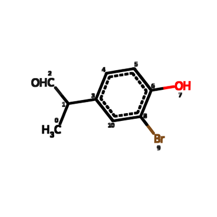 CC(C=O)c1ccc(O)c(Br)c1